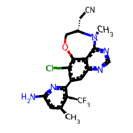 Cc1cc(N)nc(-c2cc3ncnc4c3c(c2Cl)OC[C@H](CC#N)N4C)c1C(F)(F)F